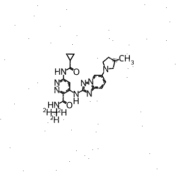 [2H]C([2H])([2H])NC(=O)c1nnc(NC(=O)C2CC2)cc1Nc1nc2ccc(N3CC[C@@H](C)C3)cn2n1